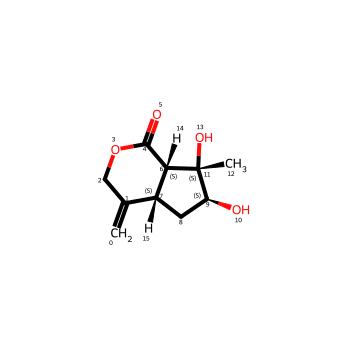 C=C1COC(=O)[C@H]2[C@@H]1C[C@H](O)[C@@]2(C)O